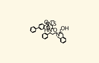 O=C(NC(CCN1Cc2ccccc2C[C@@H]1CO)c1ccccc1)C1SCCN1S(=O)(=O)c1ccc(-c2ccccc2)cc1